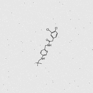 CC(C)(C)CNc1ccc(CNC(=O)Cc2ccc(Cl)c(Cl)c2)nc1